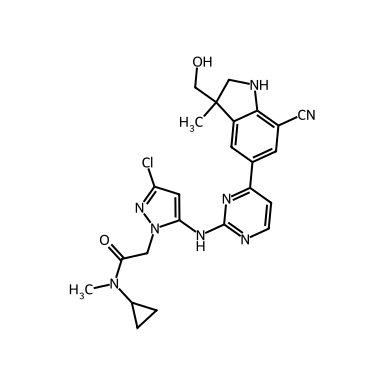 CN(C(=O)Cn1nc(Cl)cc1Nc1nccc(-c2cc(C#N)c3c(c2)C(C)(CO)CN3)n1)C1CC1